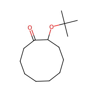 CC(C)(C)OC1CCCCCCCCC1=O